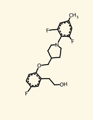 Cc1cc(F)c(N2CCC(COc3ccc(F)cc3CCO)CC2)c(F)c1